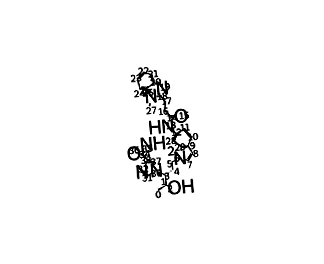 C[C@H](O)[C@@H](CCn1ccc2ccc(NC(=O)CCc3nc4ccccc4n3C)cc21)n1cnc(C(N)=O)c1